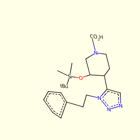 CC(C)(C)[Si](C)(C)OC1CN(C(=O)O)CCC1c1cnnn1CCc1ccccc1